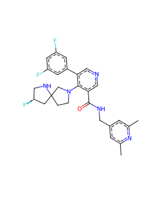 Cc1cc(CNC(=O)c2cncc(-c3cc(F)cc(F)c3)c2N2CCC3(C[C@@H](F)CN3)C2)cc(C)n1